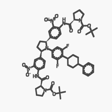 CC(C)(C)OC(=O)N1CCC[C@H]1C(=O)Nc1ccc([C@H]2CC[C@H](c3ccc(NC(=O)[C@@H]4CCCN4C(=O)OC(C)(C)C)c([N+](=O)[O-])c3)N2c2cc(F)c(C3CCC(c4ccccc4)CC3)c(F)c2)cc1[N+](=O)[O-]